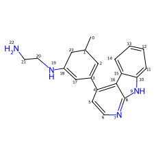 CC1C=C(c2ccnc3[nH]c4ccccc4c23)C=C(NCCN)C1